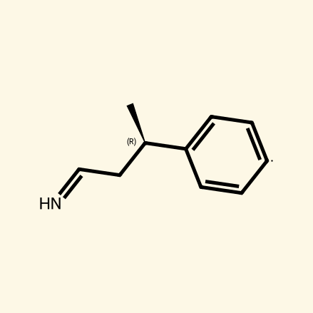 C[C@H](CC=N)c1cc[c]cc1